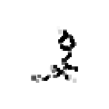 CCCCC(C)(C)C(=O)OCc1ccc(C)cc1